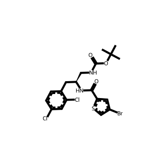 CC(C)(C)OC(=O)NC[C@H](Cc1ccc(Cl)cc1Cl)NC(=O)c1cc(Br)cs1